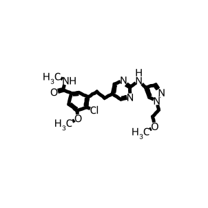 CNC(=O)c1cc(CCc2cnc(Nc3cnn(CCOC)c3)nc2)c(Cl)c(OC)c1